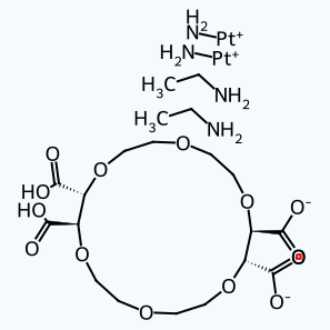 CCN.CCN.O=C([O-])[C@@H]1OCCOCCO[C@@H](C(=O)O)[C@H](C(=O)O)OCCOCCO[C@H]1C(=O)[O-].[NH2][Pt+].[NH2][Pt+]